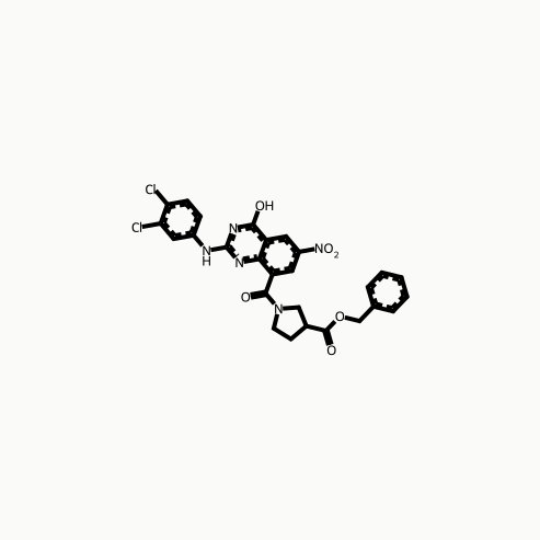 O=C(OCc1ccccc1)C1CCN(C(=O)c2cc([N+](=O)[O-])cc3c(O)nc(Nc4ccc(Cl)c(Cl)c4)nc23)C1